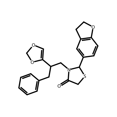 O=C1CSC(c2ccc3c(c2)CCO3)N1CC(Cc1ccccc1)C1=COCO1